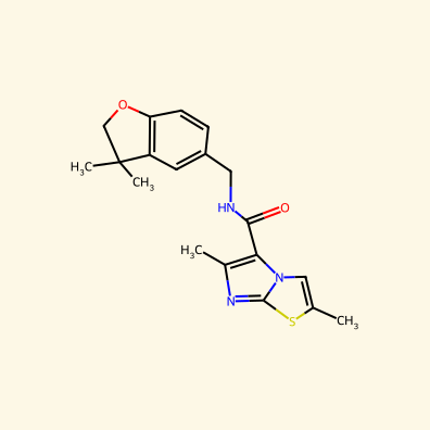 Cc1cn2c(C(=O)NCc3ccc4c(c3)C(C)(C)CO4)c(C)nc2s1